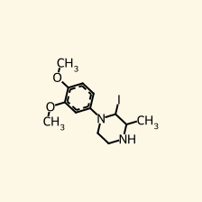 COc1ccc(N2CCNC(C)C2I)cc1OC